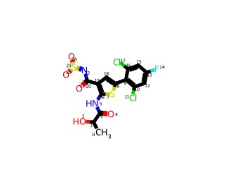 CC(O)C(=O)Nc1sc(-c2c(Cl)cc(F)cc2Cl)cc1C(=O)N=S(=O)=O